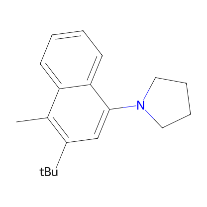 Cc1c(C(C)(C)C)cc(N2CCCC2)c2ccccc12